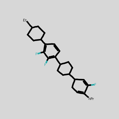 CCCC1=CCC(C2CCC(c3ccc(C4CCC(CC)CC4)c(F)c3F)CC2)C=C1F